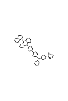 c1ccc(N(c2ccc(-c3ccc(-c4c5ccccc5c(-c5cccc6ccccc56)c5ccccc45)cc3)cc2)c2ccc(-c3ncccn3)cc2)cc1